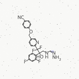 N#Cc1ccc(OCc2ccc(C(F)(F)C(O)(CN/C=N\N)c3ccc(F)cc3F)nc2)cc1